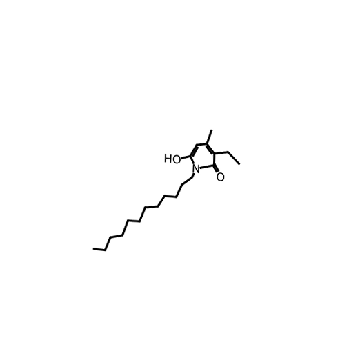 CCCCCCCCCCCCn1c(O)cc(C)c(CC)c1=O